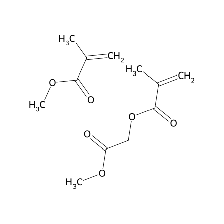 C=C(C)C(=O)OC.C=C(C)C(=O)OCC(=O)OC